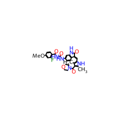 COc1ccc(C(=O)NC(=O)Nc2ccc3c(c2)NC(=O)C3=Cc2[nH]c(C)c(C(=O)N3CCOCC3)c2C)c(F)c1